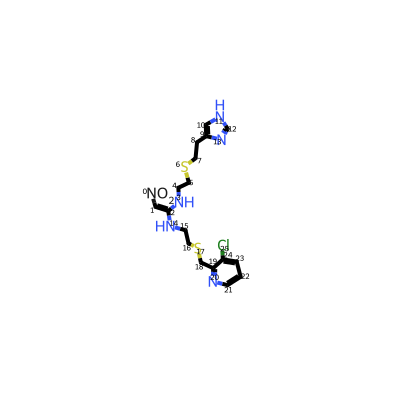 O=[N+]([O-])/C=C(\NCCSCCc1c[nH]cn1)NCCSCc1ncccc1Cl